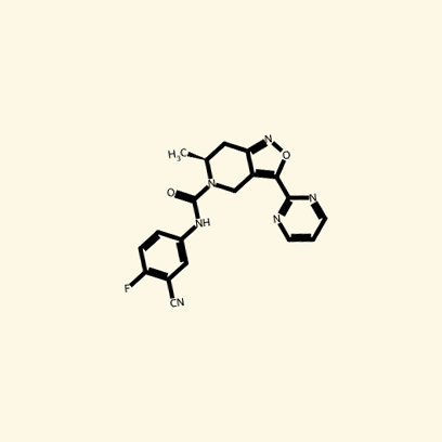 C[C@H]1Cc2noc(-c3ncccn3)c2CN1C(=O)Nc1ccc(F)c(C#N)c1